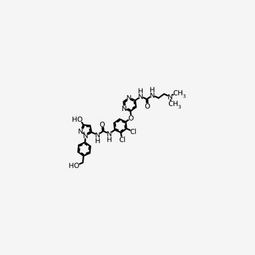 CN(C)CCNC(=O)Nc1cc(Oc2ccc(NC(=O)Nc3cc(O)nn3-c3ccc(CO)cc3)c(Cl)c2Cl)ncn1